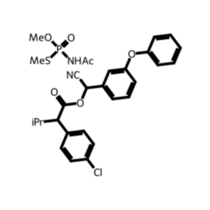 CC(C)C(C(=O)OC(C#N)c1cccc(Oc2ccccc2)c1)c1ccc(Cl)cc1.COP(=O)(NC(C)=O)SC